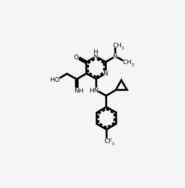 CN(C)c1nc(NC(c2ccc(C(F)(F)F)cc2)C2CC2)c(C(=N)CO)c(=O)[nH]1